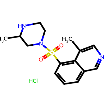 Cc1cncc2cccc(S(=O)(=O)N3CCNC(C)C3)c12.Cl